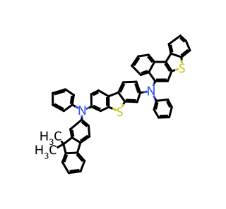 CC1(C)c2ccccc2-c2ccc(N(c3ccccc3)c3ccc4c(c3)sc3cc(N(c5ccccc5)c5cc6sc7ccccc7c6c6ccccc56)ccc34)cc21